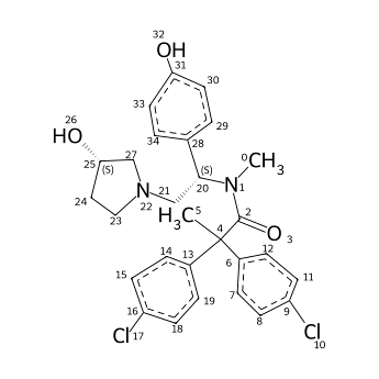 CN(C(=O)C(C)(c1ccc(Cl)cc1)c1ccc(Cl)cc1)[C@H](CN1CC[C@H](O)C1)c1ccc(O)cc1